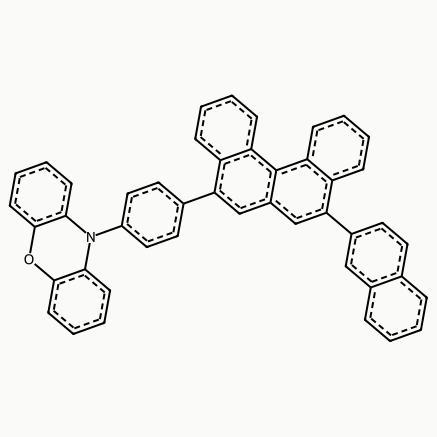 c1ccc2c(c1)Oc1ccccc1N2c1ccc(-c2cc3cc(-c4ccc5ccccc5c4)c4ccccc4c3c3ccccc23)cc1